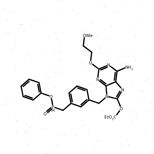 CCOC(=O)Oc1nc2c(N)nc(OCCOC)nc2n1Cc1cccc(C[PH](=O)Oc2ccccc2)c1